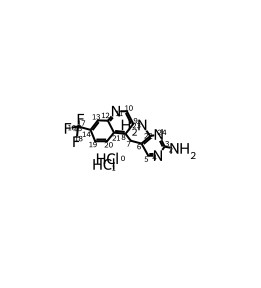 Cl.Cl.Nc1ncc(Cc2ccnc3cc(C(F)(F)F)ccc23)c(N)n1